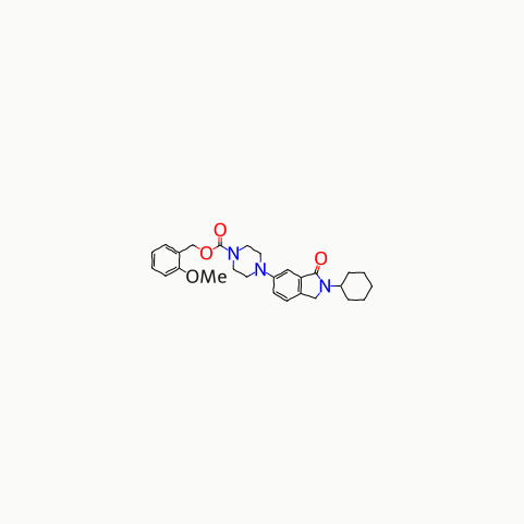 COc1ccccc1COC(=O)N1CCN(c2ccc3c(c2)C(=O)N(C2CCCCC2)C3)CC1